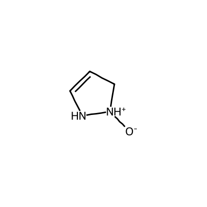 [O-][NH+]1CC=CN1